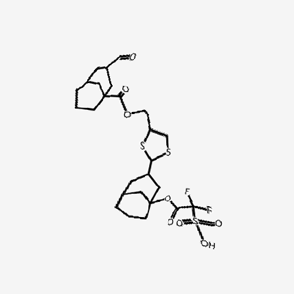 O=CC1CC2CCCC(C(=O)OCC3CSC(C4CC5CCCC(OC(=O)C(F)(F)S(=O)(=O)O)(C5)C4)S3)(C1)C2